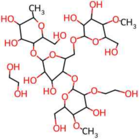 COC1C(CO)OC(OCC2OC(OC3C(CO)OC(C)C(O)C3O)C(O)C(O)C2OC2OC(CO)C(OC)C(O)C2OCCO)C(O)C1O.OCCO